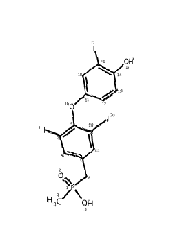 CP(=O)(O)Cc1cc(I)c(Oc2ccc(O)c(I)c2)c(I)c1